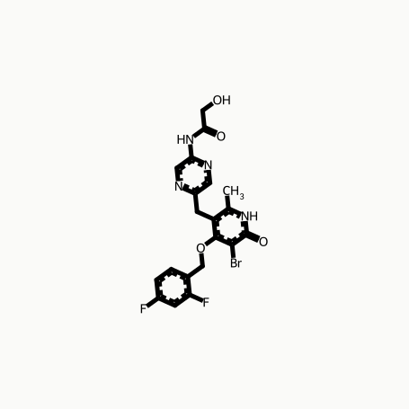 Cc1[nH]c(=O)c(Br)c(OCc2ccc(F)cc2F)c1Cc1cnc(NC(=O)CO)cn1